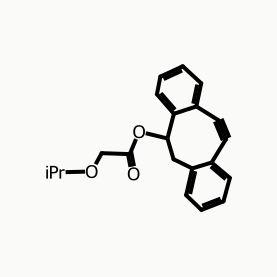 CC(C)OCC(=O)OC1Cc2ccccc2C#Cc2ccccc21